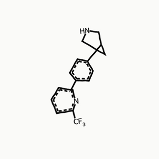 FC(F)(F)c1cccc(-c2ccc(C34CNCC3C4)cc2)n1